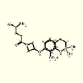 CC(=O)[C@@H](N)CCC(=O)N1CC(Oc2ccc3c(c2C(=O)O)O[B-](O)(O)CC3)C1